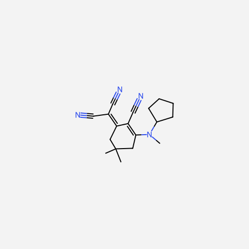 CN(C1=C(C#N)C(=C(C#N)C#N)CC(C)(C)C1)C1CCCC1